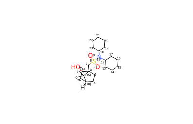 CC1(C)[C@@H]2CC[C@@]1(CS(=O)(=O)N(C1CCCCC1)C1CCCCC1)[C@H](O)C2